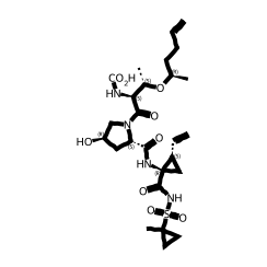 C=CCC[C@@H](C)O[C@@H](C)[C@H](NC(=O)O)C(=O)N1C[C@H](O)C[C@H]1C(=O)N[C@]1(C(=O)NS(=O)(=O)C2(C)CC2)C[C@H]1C=C